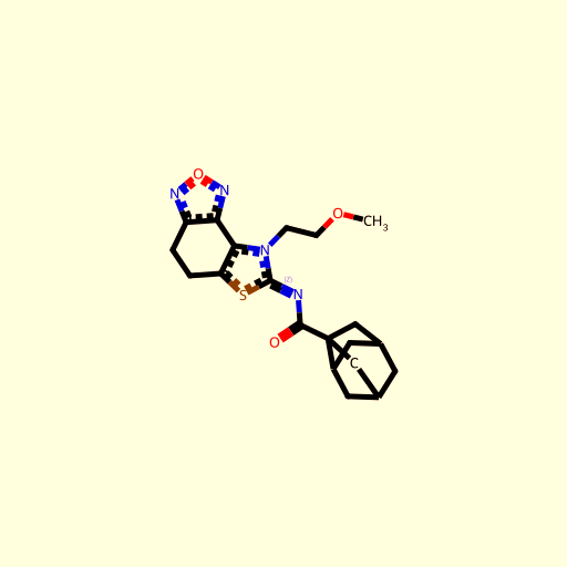 COCCn1c2c(s/c1=N\C(=O)C13CC4CC(CC1C4)C3)CCc1nonc1-2